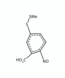 CSSc1ccc(N=O)c(C(=O)O)c1